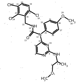 COCC(C)Nc1nccc(N(C(=O)NCc2c(Cl)ccc(Cl)c2Cl)c2ccc(OC)cc2)n1